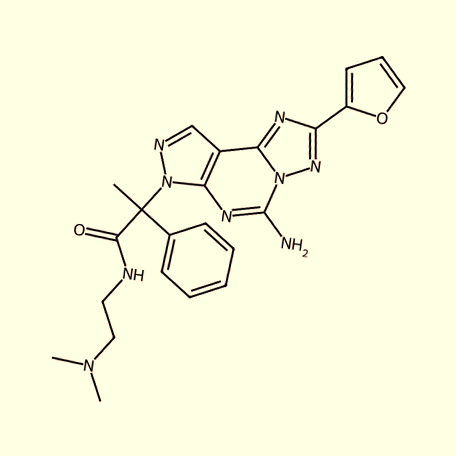 CN(C)CCNC(=O)C(C)(c1ccccc1)n1ncc2c1nc(N)n1nc(-c3ccco3)nc21